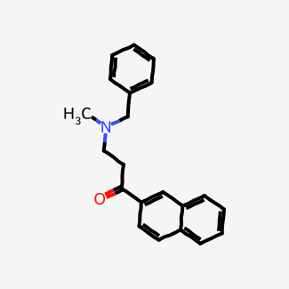 CN(CCC(=O)c1ccc2ccccc2c1)Cc1ccccc1